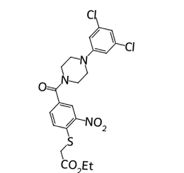 CCOC(=O)CSc1ccc(C(=O)N2CCN(c3cc(Cl)cc(Cl)c3)CC2)cc1[N+](=O)[O-]